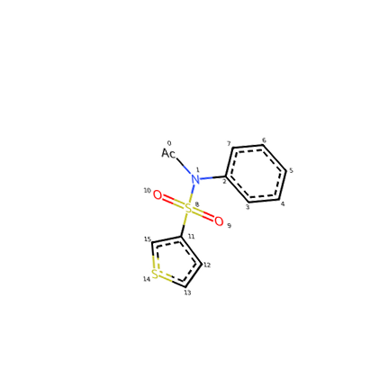 CC(=O)N(c1ccccc1)S(=O)(=O)c1ccsc1